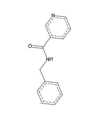 O=C(NCc1c[c]ccc1)c1cccnc1